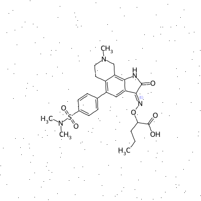 CCCC(O/N=C1/C(=O)Nc2c1cc(-c1ccc(S(=O)(=O)N(C)C)cc1)c1c2CN(C)CC1)C(=O)O